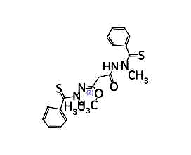 CO/C(CC(=O)NN(C)C(=S)c1ccccc1)=N\N(C)C(=S)c1ccccc1